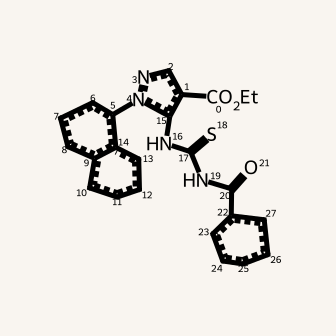 CCOC(=O)c1cnn(-c2cccc3ccccc23)c1NC(=S)NC(=O)c1ccccc1